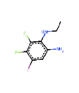 CCNc1c(N)cc(I)c(F)c1F